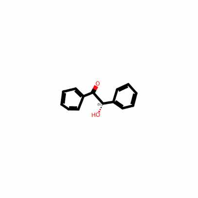 O=C(c1ccccc1)[C@@H](O)c1ccccc1